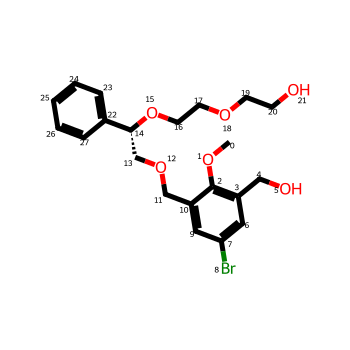 COc1c(CO)cc(Br)cc1COC[C@@H](OCCOCCO)c1ccccc1